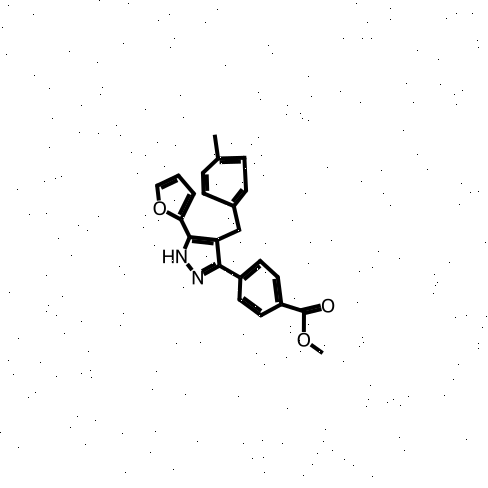 COC(=O)c1ccc(-c2n[nH]c(-c3ccco3)c2Cc2ccc(C)cc2)cc1